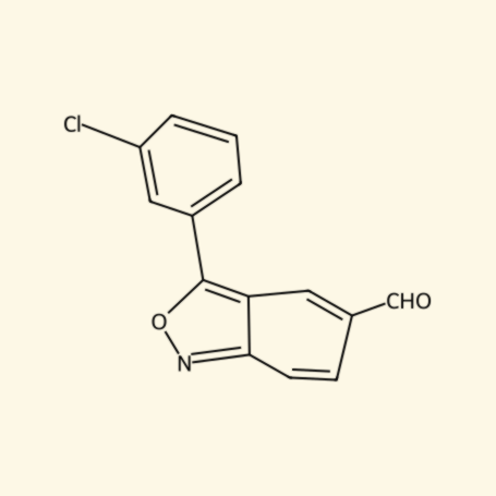 O=Cc1ccc2noc(-c3cccc(Cl)c3)c2c1